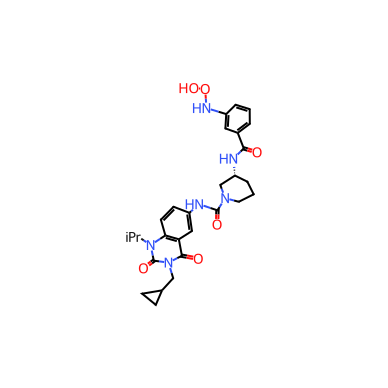 CC(C)n1c(=O)n(CC2CC2)c(=O)c2cc(NC(=O)N3CCC[C@@H](NC(=O)c4cccc(NOO)c4)C3)ccc21